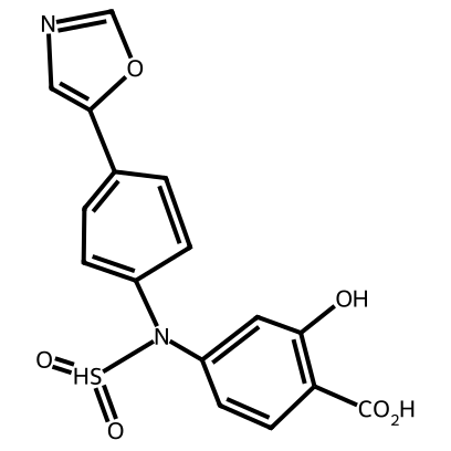 O=C(O)c1ccc(N(c2ccc(-c3cnco3)cc2)[SH](=O)=O)cc1O